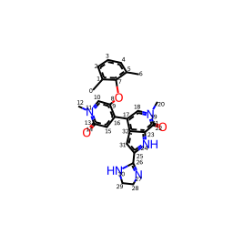 Cc1cccc(C)c1Oc1cn(C)c(=O)cc1-c1cn(C)c(=O)c2[nH]c(C3=NCCN3)cc12